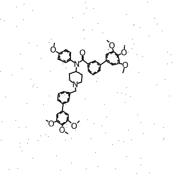 COc1ccc(N(C(=O)c2cccc(-c3cc(OC)c(OC)c(OC)c3)c2)C2CCN(Cc3cccc(-c4cc(OC)c(OC)c(OC)c4)c3)CC2)cc1